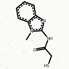 Cn1c(NC(=O)CS)nc2ccccc21